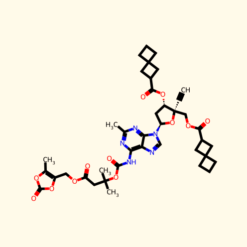 C#C[C@]1(COC(=O)C2CC3(CCC3)C2)O[C@@H](n2cnc3c(NC(=O)OC(C)(C)CC(=O)OCc4oc(=O)oc4C)nc(C)nc32)C[C@@H]1OC(=O)C1CC2(CCC2)C1